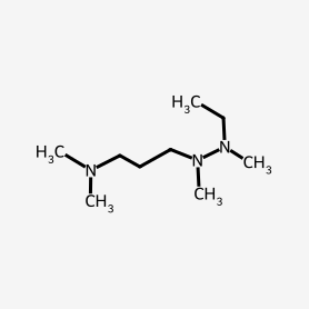 CCN(C)N(C)CCCN(C)C